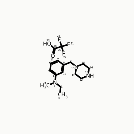 CCN(C)c1cccc(CN2CCNCC2)c1.O=C(O)C(F)(F)F